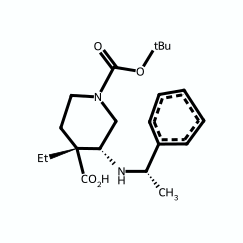 CC[C@@]1(C(=O)O)CCN(C(=O)OC(C)(C)C)C[C@@H]1N[C@@H](C)c1ccccc1